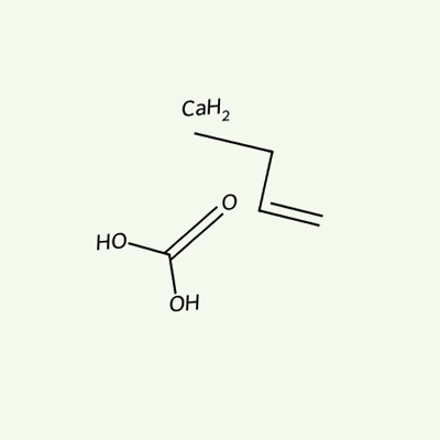 C=CCC.O=C(O)O.[CaH2]